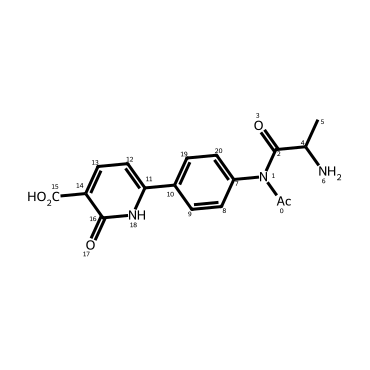 CC(=O)N(C(=O)C(C)N)c1ccc(-c2ccc(C(=O)O)c(=O)[nH]2)cc1